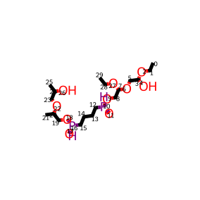 CCOC(O)COC(CO[PH](=O)CCCC[PH](=O)OCC(C)OCC(C)O)OCC